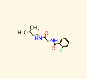 CC(C)CCNC(=O)CNC(=O)c1ccccc1F